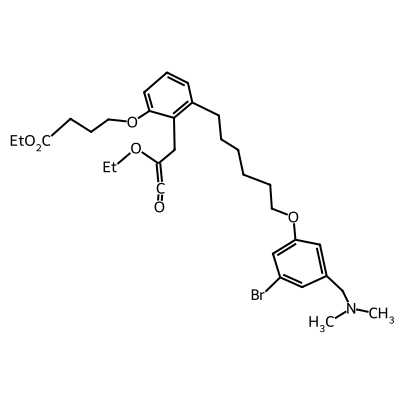 CCOC(=O)CCCOc1cccc(CCCCCCOc2cc(Br)cc(CN(C)C)c2)c1CC(=C=O)OCC